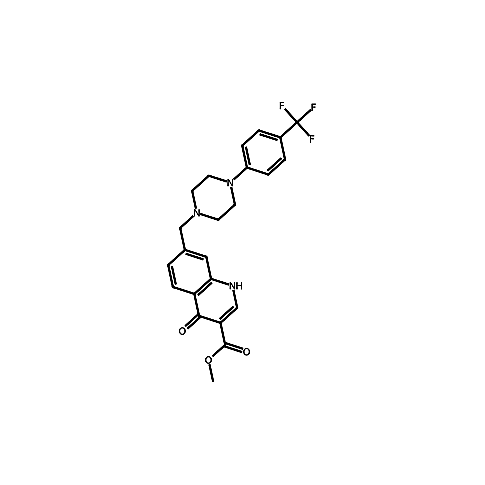 COC(=O)c1c[nH]c2cc(CN3CCN(c4ccc(C(F)(F)F)cc4)CC3)ccc2c1=O